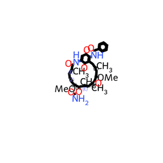 CO[C@H]1C[C@H](C)CC2=C(NC(=O)c3ccccc3)C(=O)C=C(NC(=O)/C(C)=C/C=C\[C@H](OC)[C@@H](OC(N)=O)/C(C)=C/[C@H](C)C1=O)C2=O